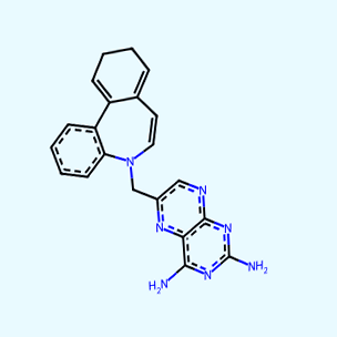 Nc1nc(N)c2nc(CN3C=CC4=CCCC=C4c4ccccc43)cnc2n1